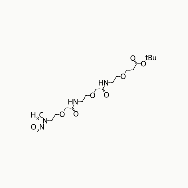 CN(CCOCC(=O)NCCOCC(=O)NCCOCCC(=O)OC(C)(C)C)[N+](=O)[O-]